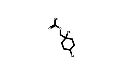 NC(=O)OCC1(O)CCC(N)CC1